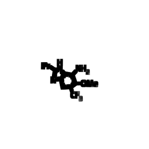 COc1c(C(F)(F)F)cc2nc(C(C)C)[nH]c2c1N